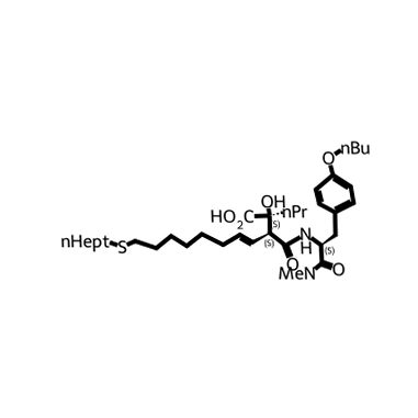 CCCCCCCSCCCCCCC=C[C@H](C(=O)N[C@@H](Cc1ccc(OCCCC)cc1)C(=O)NC)[C@@](O)(CCC)C(=O)O